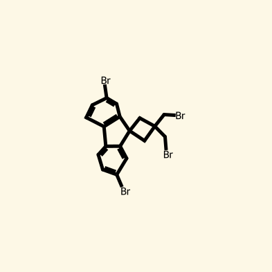 BrCC1(CBr)CC2(C1)c1cc(Br)ccc1-c1ccc(Br)cc12